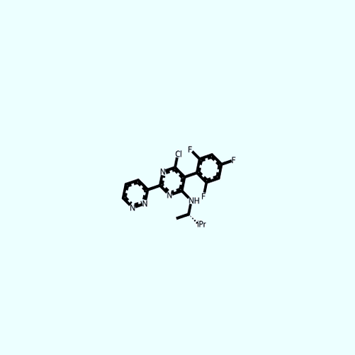 CC(C)[C@H](C)Nc1nc(-c2cccnn2)nc(Cl)c1-c1c(F)cc(F)cc1F